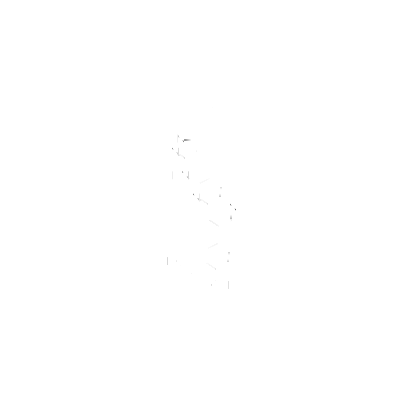 COc1cc(-c2cnc3ccc(Nc4nnc(C5CCCC5)s4)nc3c2)ccc1O